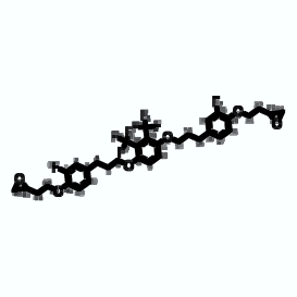 Fc1cc(CCCOc2ccc(OCCCc3ccc(OCCC4CO4)c(F)c3)c(C(F)(F)F)c2C(F)(F)F)ccc1OCCC1CO1